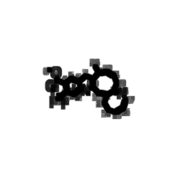 COC(=O)c1cc(C/C2=C(N)/C=C3CCC=C=C\N=C/3CC=C=C2C)ccc1C(F)(F)F